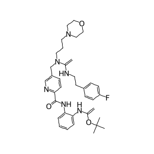 C=C(Nc1ccccc1NC(=O)c1ccc(CN(CCCN2CCOCC2)C(=C)NCCc2ccc(F)cc2)cn1)OC(C)(C)C